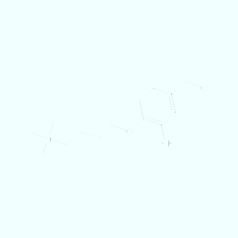 C[Si](C)(C)CCOCOc1ccc(CCl)cc1C(F)(F)F